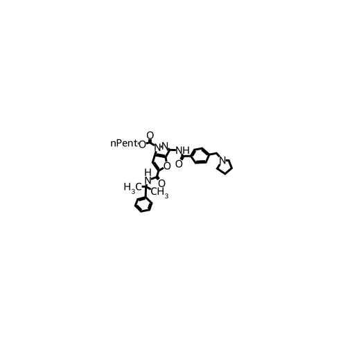 CCCCCOC(=O)n1nc(NC(=O)c2ccc(CN3CCCC3)cc2)c2oc(C(=O)NC(C)(C)c3ccccc3)cc21